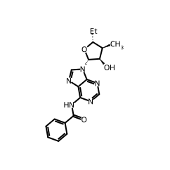 CC[C@H]1O[C@@H](n2cnc3c(NC(=O)c4ccccc4)ncnc32)[C@H](O)[C@@H]1C